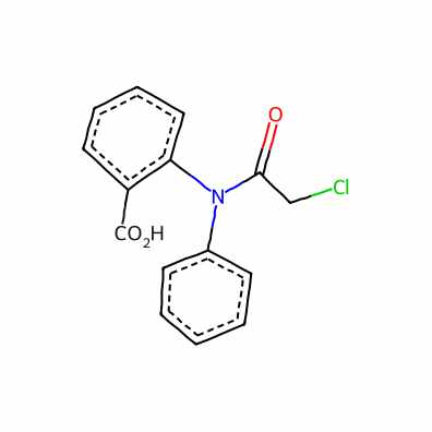 O=C(O)c1ccccc1N(C(=O)CCl)c1ccccc1